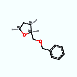 C[C@@H]1C[C@H](C)[C@@](C)(COCc2ccccc2)O1